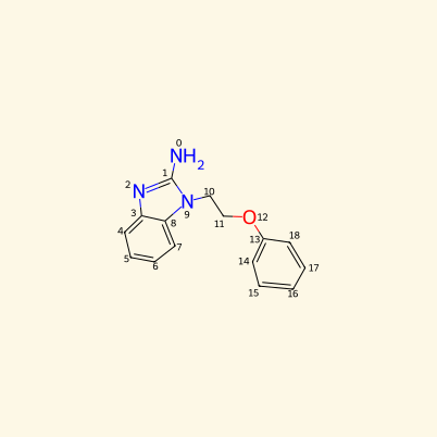 Nc1nc2ccccc2n1CCOc1ccccc1